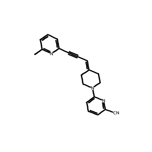 Cc1cccc(C#CC=C2CCN(c3cccc(C#N)n3)CC2)n1